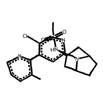 Cc1cccnc1-c1cc(N2C3CCC2CC(NS(C)(=O)=O)C3)ncc1Cl